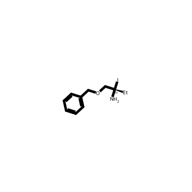 CC[C@](N)(I)COCc1ccccc1